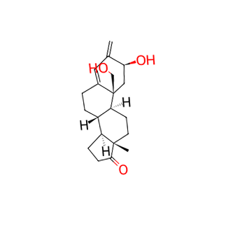 C=C1C=C2CC[C@@H]3[C@H](CC[C@]4(C)C(=O)CC[C@@H]34)[C@@]2(CO)C[C@@H]1O